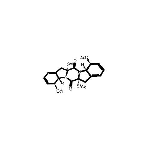 CS[C@@]12CC3=CC=C[C@H](OC(C)=O)[C@H]3N1C(=O)[C@]1(SC)CC3=CC=C[C@H](O)[C@H]3N1C2=O